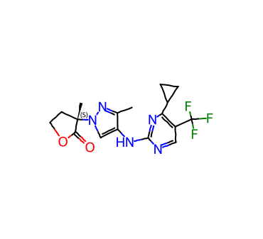 Cc1nn([C@@]2(C)CCOC2=O)cc1Nc1ncc(C(F)(F)F)c(C2CC2)n1